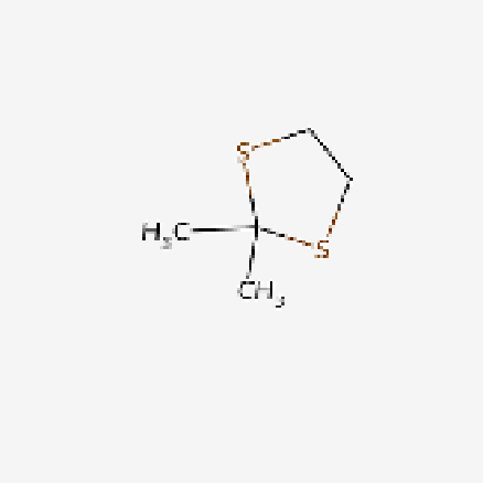 CC1(C)SCCS1